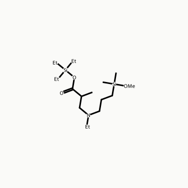 CCN(CCC[Si](C)(C)OC)CC(C)C(=O)O[Si](CC)(CC)CC